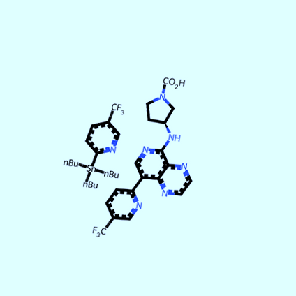 CCC[CH2][Sn]([CH2]CCC)([CH2]CCC)[c]1ccc(C(F)(F)F)cn1.O=C(O)N1CC[C@H](Nc2ncc(-c3ccc(C(F)(F)F)cn3)c3nccnc23)C1